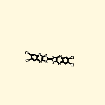 Clc1cc2nc3c(nc2cc1Cl)SC(=C1Sc2nc4cc(Cl)c(Cl)cc4nc2S1)S3